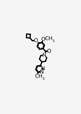 COc1cc(C(=O)N2CCC(c3ccc(C)nn3)CC2)ccc1OCC1CCC1